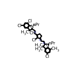 CCCN1/C(=C/C=C2\CCC(/C=C/C3=[N+](CCC)c4c(Cl)cc(Cl)cc4C3(C)C)=C2Cl)C(C)(C)c2cc(Cl)cc(C)c21